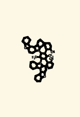 N#Cc1ccccc1-c1c(-n2c3ccccc3c3c4c(ccc32)oc2ccccc24)c(C(F)(F)F)c(-n2c3ccccc3c3c4c(ccc32)oc2ccccc24)c(-c2ccccc2C#N)c1C(F)(F)F